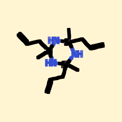 C=CC[Si]1(C)N[Si](C)(CC=C)N[Si](C)(CC=C)N1